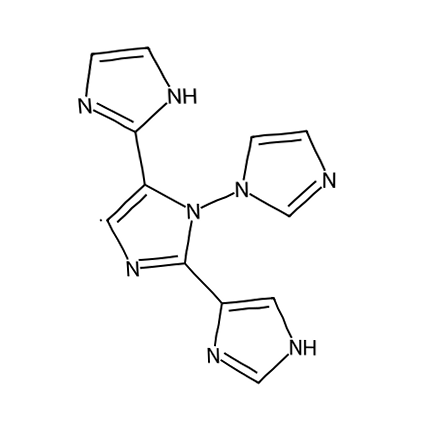 [c]1nc(-c2c[nH]cn2)n(-n2ccnc2)c1-c1ncc[nH]1